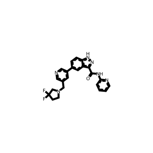 O=C(Nc1ccccn1)c1n[nH]c2ccc(-c3cncc(CN4CCC(F)(F)C4)c3)cc12